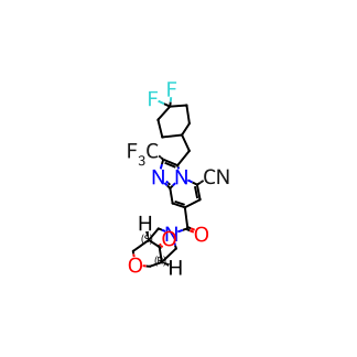 N#Cc1cc(C(=O)N2C[C@H]3COC[C@@H](C2)C3=O)cc2nc(C(F)(F)F)c(CC3CCC(F)(F)CC3)n12